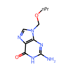 CCCOCn1cnc2c(=O)[nH]c(N)nc21